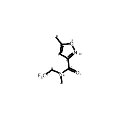 Cc1cc(C(=O)N(C)CC(F)(F)F)no1